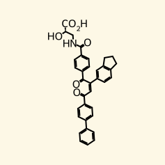 O=C(/C=C(\C(=O)c1ccc(C(=O)NC[C@@H](O)C(=O)O)cc1)c1ccc2c(c1)CCC2)c1ccc(-c2ccccc2)cc1